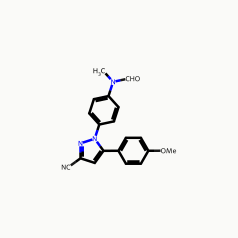 COc1ccc(-c2cc(C#N)nn2-c2ccc(N(C)C=O)cc2)cc1